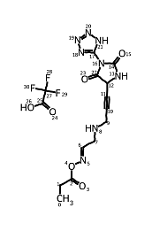 CCC(=O)ON=CCNCC#CC1NC(=O)N(c2nnn[nH]2)C1=O.O=C(O)C(F)(F)F